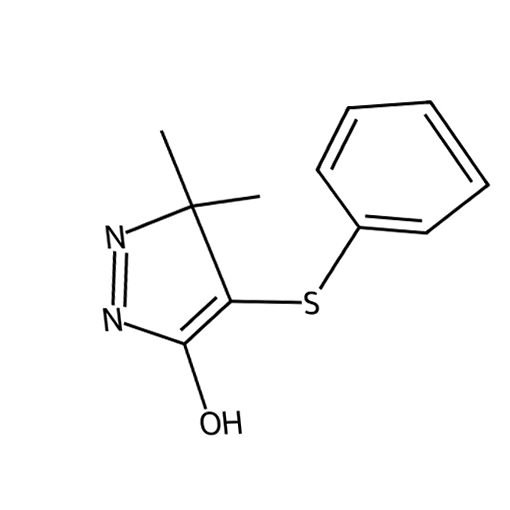 CC1(C)N=NC(O)=C1Sc1ccccc1